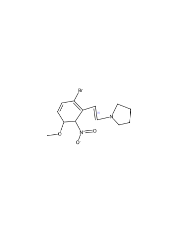 COC1C=CC(Br)=C(/C=C/N2CCCC2)C1[N+](=O)[O-]